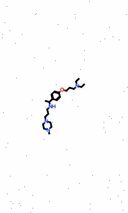 CCN(CC)CCCOc1ccc(C(C)NCCCN2CCN(C)CC2)cc1